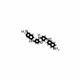 Nc1ccc2cc(Nc3ccc4c(c3)Nc3ccc(Nc5ccc6cc(N)ccc6c5)cc3O4)ccc2c1